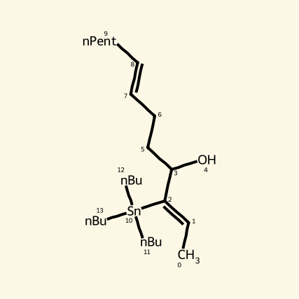 CC=[C](C(O)CCC=CCCCCC)[Sn]([CH2]CCC)([CH2]CCC)[CH2]CCC